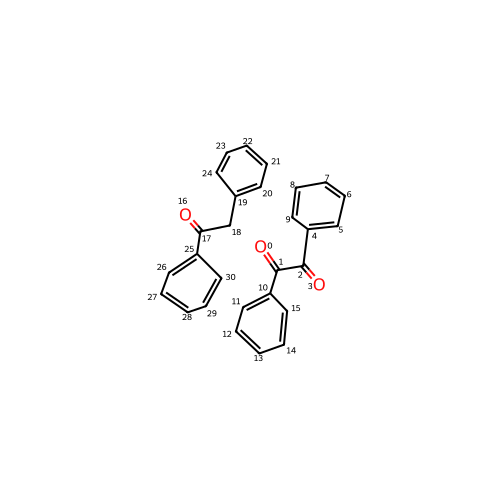 O=C(C(=O)c1ccccc1)c1ccccc1.O=C(Cc1ccccc1)c1ccccc1